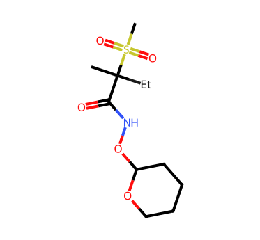 CCC(C)(C(=O)NOC1CCCCO1)S(C)(=O)=O